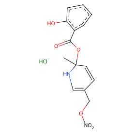 CC1(OC(=O)c2ccccc2O)C=CC(CO[N+](=O)[O-])=CN1.Cl